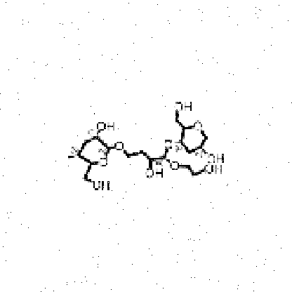 C[C@H]1C[C@H](O)[C@@H](OCCC(O)[C@H](OCCO)O[C@H]2C[C@H](O)COC2CO)OC1CO